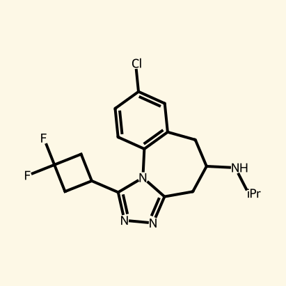 CC(C)NC1Cc2cc(Cl)ccc2-n2c(nnc2C2CC(F)(F)C2)C1